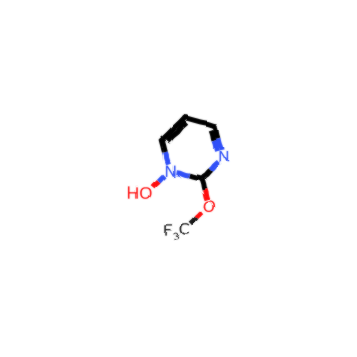 ON1C=CC=NC1OC(F)(F)F